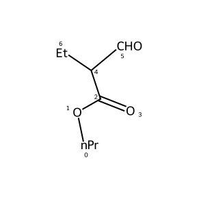 CCCOC(=O)C(C=O)CC